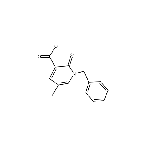 Cc1cc(C(=O)O)c(=O)n(Cc2ccccc2)c1